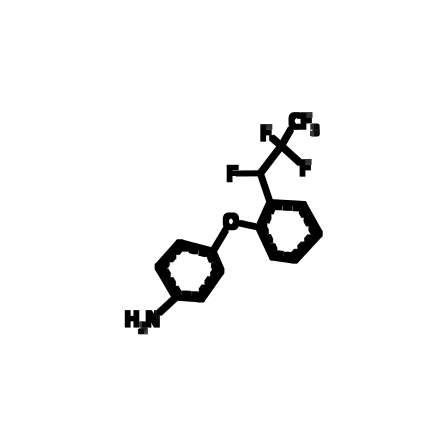 Nc1ccc(Oc2ccccc2C(F)C(F)(F)C(F)(F)F)cc1